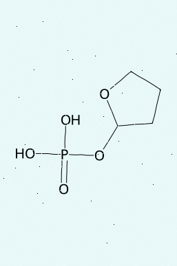 O=P(O)(O)OC1CCCO1